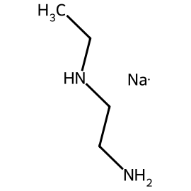 CCNCCN.[Na]